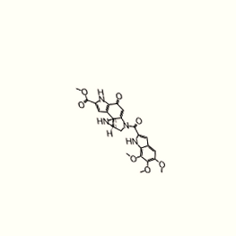 COC(=O)c1cc2c([nH]1)C(=O)C=C1N(C(=O)c3cc4cc(OC)c(OC)c(OC)c4[nH]3)C[C@H]3N[C@]123